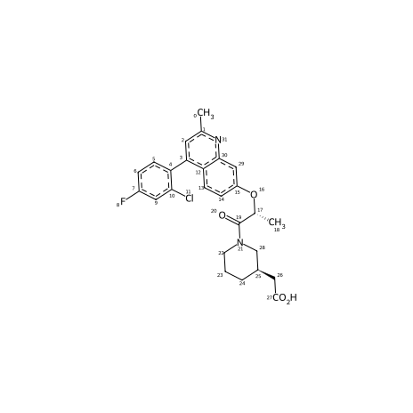 Cc1cc(-c2ccc(F)cc2Cl)c2ccc(O[C@H](C)C(=O)N3CCC[C@H](CC(=O)O)C3)cc2n1